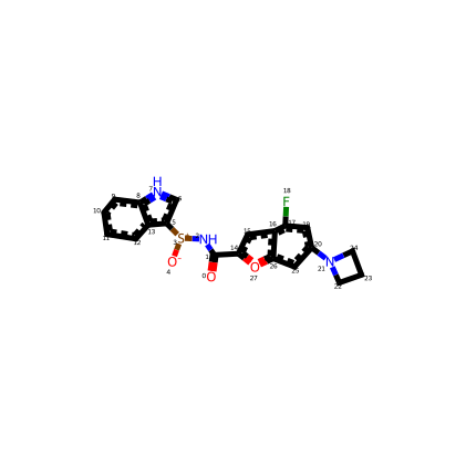 O=C(N[S+]([O-])c1c[nH]c2ccccc12)c1cc2c(F)cc(N3CCC3)cc2o1